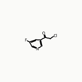 O=C([CH]Cl)c1cncc(F)c1